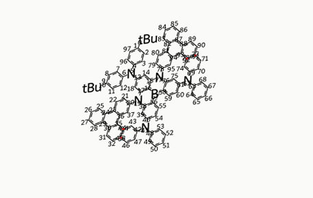 CC(C)(C)c1ccc(N(c2ccc(C(C)(C)C)cc2)c2cc3c4c(c2)N(c2ccc5c6ccccc6c6ccccc6c5c2)c2cc(N(c5ccccc5)c5ccccc5)ccc2B4c2ccc(N(c4ccccc4)c4ccccc4)cc2N3c2ccc3c4ccccc4c4ccccc4c3c2)cc1